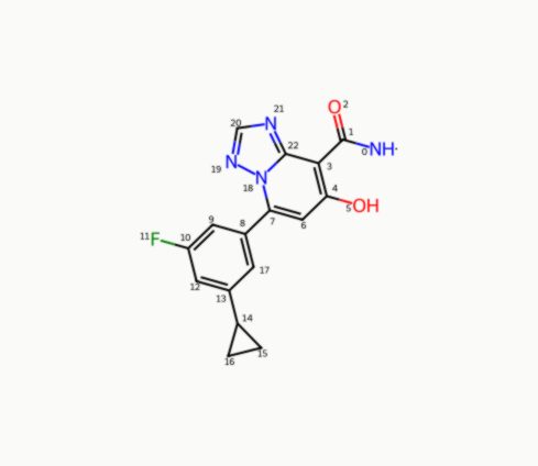 [NH]C(=O)c1c(O)cc(-c2cc(F)cc(C3CC3)c2)n2ncnc12